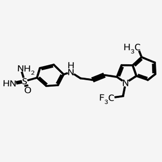 Cc1cccc2c1cc(C#CCNc1ccc(S(=N)(N)=O)cc1)n2CC(F)(F)F